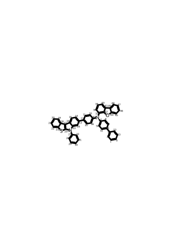 c1ccc(-c2ccc(N(c3ccc(-c4ccc5c6c7ccccc7sc6n(-c6ccccc6)c5c4)cc3)c3cccc4c3oc3ccccc34)cc2)cc1